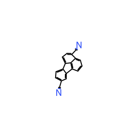 N#Cc1ccc2c(c1)-c1cccc3c(C#N)ccc-2c13